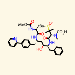 COC(=O)N[C@H](C(=O)N[C@@H](Cc1ccc(-c2ccccn2)cc1)C[C@H](O)[C@H](Cc1ccccc1)NC(=O)[C@@H](N(C)C(=O)O)C(C)(C)[S@+](C)[O-])C(C)(C)C